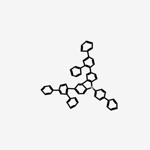 c1ccc(-c2ccc(-n3c4ccc(-c5ccc(-c6ccccc6)cc5-c5ccccc5)cc4c4cc(-c5ccc(-c6ccccc6)cc5-c5ccccc5)ccc43)cc2)cc1